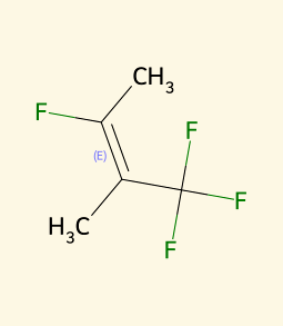 C/C(F)=C(/C)C(F)(F)F